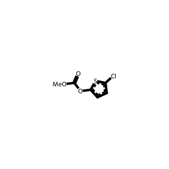 COC(=O)Oc1ccc(Cl)s1